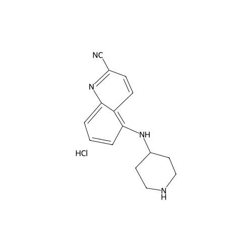 Cl.N#Cc1ccc2c(NC3CCNCC3)cccc2n1